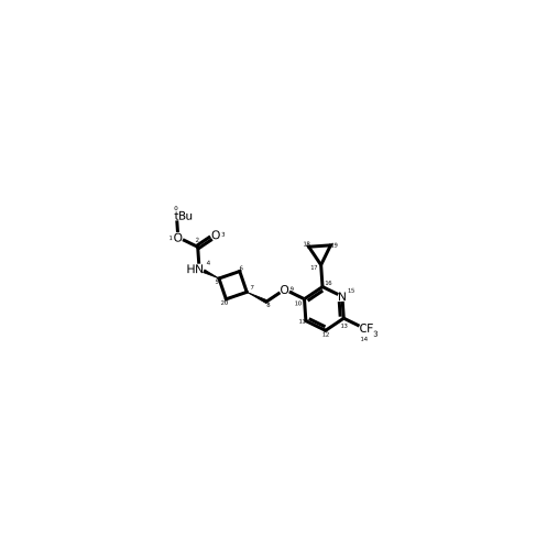 CC(C)(C)OC(=O)N[C@H]1C[C@@H](COc2ccc(C(F)(F)F)nc2C2CC2)C1